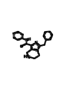 O=C(Nc1ccccc1)c1nc(Cc2ccccc2)n2c1CNCC2